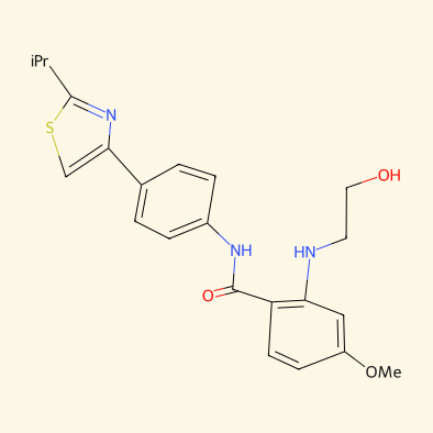 COc1ccc(C(=O)Nc2ccc(-c3csc(C(C)C)n3)cc2)c(NCCO)c1